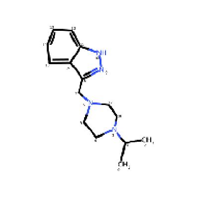 CC(C)N1CCN(Cc2n[nH]c3ccccc23)CC1